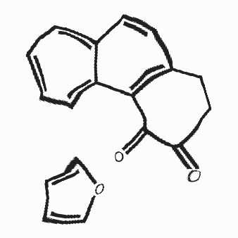 O=C1CCc2ccc3ccccc3c2C1=O.c1ccoc1